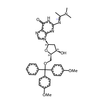 COc1ccc(C(OC[C@H]2O[C@@H](n3cnc4c(=O)[nH]c(/N=C(\C)N(C)C)nc43)C[C@H]2O)(c2ccccc2)c2ccc(OC)cc2)cc1